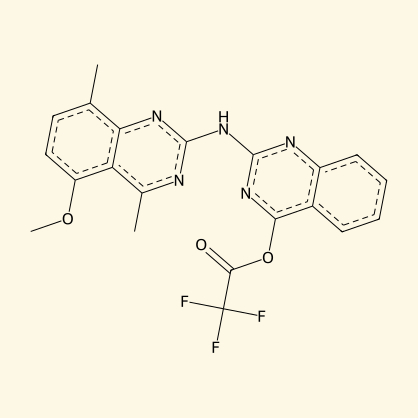 COc1ccc(C)c2nc(Nc3nc(OC(=O)C(F)(F)F)c4ccccc4n3)nc(C)c12